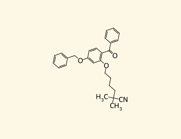 CC(C)(C#N)CCCCOc1cc(OCc2ccccc2)ccc1C(=O)c1ccccc1